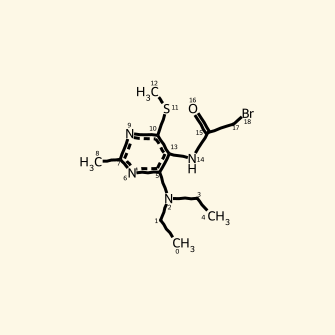 CCN(CC)c1nc(C)nc(SC)c1NC(=O)CBr